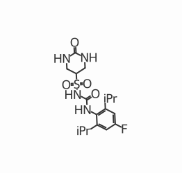 CC(C)c1cc(F)cc(C(C)C)c1NC(=O)NS(=O)(=O)C1CNC(=O)NC1